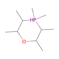 CC1OC(C)C(C)[PH](C)(C)C1C